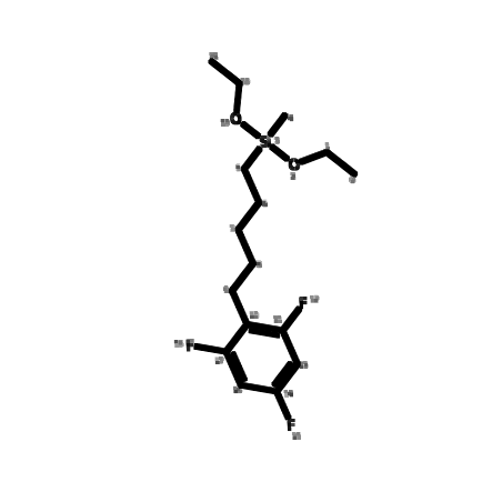 CCO[Si](C)(CCCCCc1c(F)cc(F)cc1F)OCC